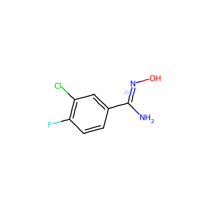 N/C(=N\O)c1ccc(F)c(Cl)c1